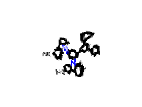 N#Cc1ccc2c(c1)c1ccccc1n2-c1cc(-c2cc(-c3ccccc3)cc(-c3ccccc3)c2)cc(-n2c3ccccc3c3cc(C#N)ccc32)c1